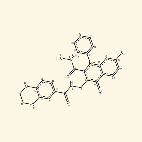 CN(C)C(=O)c1c(CNC(=O)c2ccc3c(c2)OCCO3)c(=O)c2ccc(Cl)cc2n1-c1ccccc1